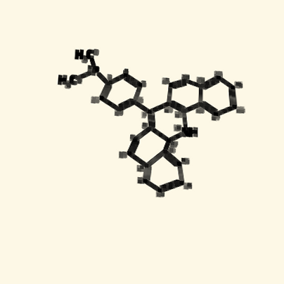 CP(C)c1ccc(C2=C3C=Cc4ccccc4C3Nc3c2ccc2ccccc32)cc1